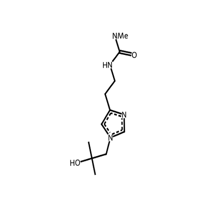 CNC(=O)NCCc1cn(CC(C)(C)O)cn1